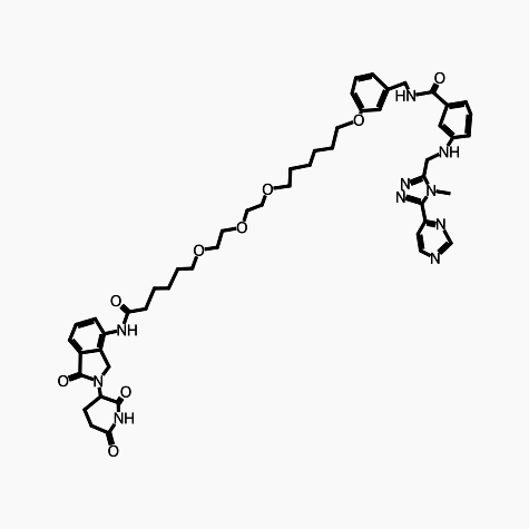 Cn1c(CNc2cccc(C(=O)NCc3cccc(OCCCCCCOCCOCCOCCCCCC(=O)Nc4cccc5c4CN(C4CCC(=O)NC4=O)C5=O)c3)c2)nnc1-c1ccncn1